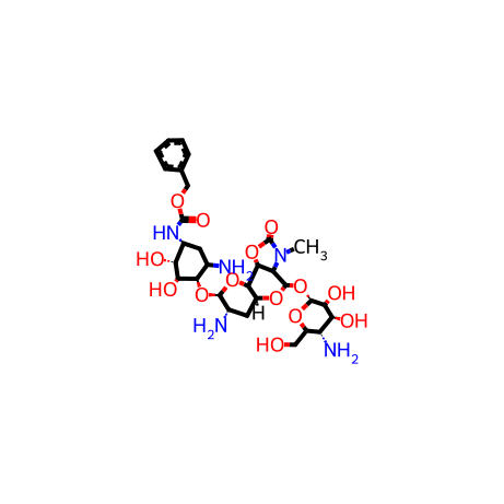 CN1C(=O)OC2C3O[C@H](O[C@@H]4C(N)C[C@@H](NC(=O)OCc5ccccc5)[C@@H](O)C4O)[C@@H](N)C[C@@H]3OC(O[C@H]3OC(CO)[C@@H](N)[C@H](O)C3O)C21